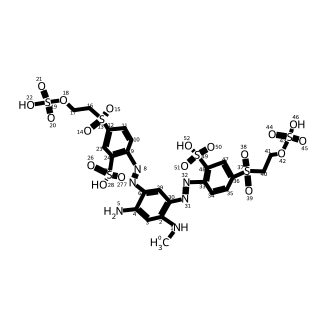 CNc1cc(N)c(/N=N/c2ccc(S(=O)(=O)CCOS(=O)(=O)O)cc2S(=O)(=O)O)cc1/N=N/c1ccc(S(=O)(=O)CCOS(=O)(=O)O)cc1S(=O)(=O)O